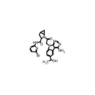 CC(O)c1ccc2c(c1)c1c(N)ncnc1n2CC(=O)N1C(C(=O)Nc2cccc(Br)n2)CC2CC21